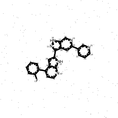 Fc1ccccc1-c1ccnc2[nH]c(-c3n[nH]c4cnc(-c5cccnc5)cc34)cc12